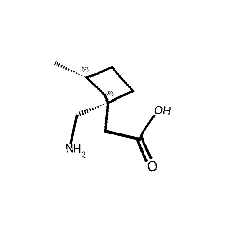 C[C@@H]1CC[C@@]1(CN)CC(=O)O